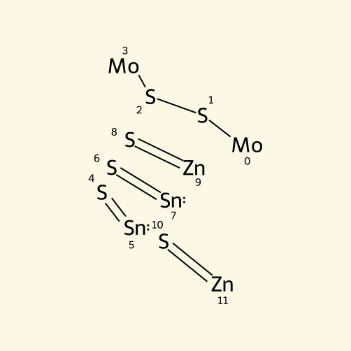 [Mo][S][S][Mo].[S]=[Sn].[S]=[Sn].[S]=[Zn].[S]=[Zn]